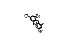 CCc1cc(Cl)cc(Br)c1Cc1ncc(Br)cc1C